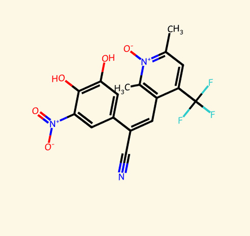 Cc1cc(C(F)(F)F)c(/C=C(/C#N)c2cc(O)c(O)c([N+](=O)[O-])c2)c(C)[n+]1[O-]